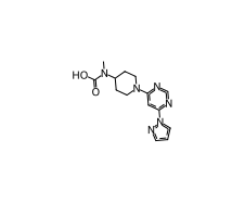 CN(C(=O)O)C1CCN(c2cc(-n3cccn3)ncn2)CC1